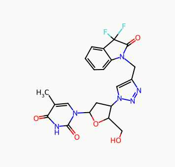 Cc1cn(C2CC(n3cc(CN4C(=O)C(F)(F)c5ccccc54)nn3)C(CO)O2)c(=O)[nH]c1=O